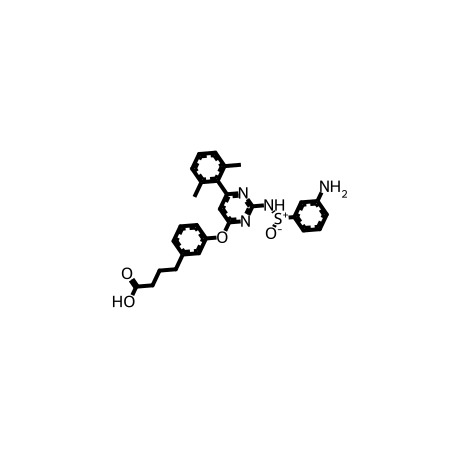 Cc1cccc(C)c1-c1cc(Oc2cccc(CCCC(=O)O)c2)nc(N[S+]([O-])c2cccc(N)c2)n1